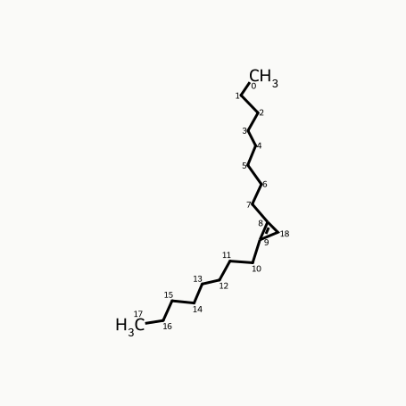 CCCCCCCCC1=C(CCCCCCCC)C1